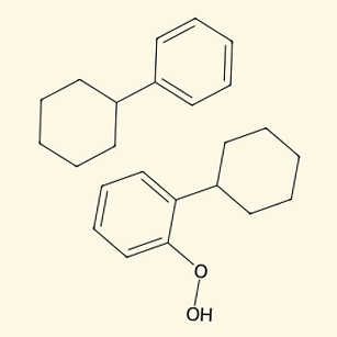 OOc1ccccc1C1CCCCC1.c1ccc(C2CCCCC2)cc1